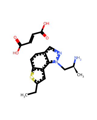 CCc1cc2c(ccc3cnn(C[C@H](C)N)c32)s1.O=C(O)C=CC(=O)O